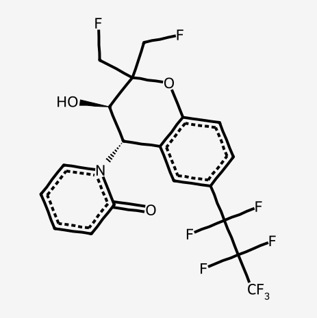 O=c1ccccn1[C@H]1c2cc(C(F)(F)C(F)(F)C(F)(F)F)ccc2OC(CF)(CF)[C@@H]1O